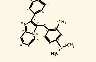 Cc1cc(N(C)C)ccc1Cc1c(-c2ccccc2)nc2ccccn12